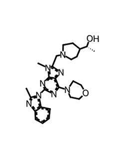 Cc1nc2ccccc2n1-c1nc(N2CCOCC2)c2nc(CN3CCC([C@@H](C)O)CC3)n(C)c2n1